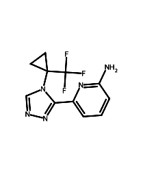 Nc1cccc(-c2nncn2C2(C(F)(F)F)CC2)n1